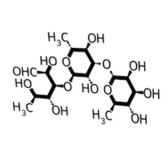 C[C@@H](O)[C@@H](O)[C@H](O[C@H]1O[C@H](C)[C@@H](O)[C@H](O[C@H]2O[C@H](C)[C@@H](O)[C@H](O)[C@@H]2O)[C@@H]1O)[C@H](O)C=O